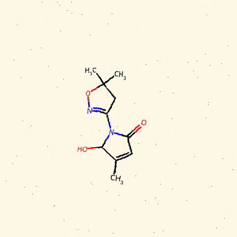 CC1=CC(=O)N(C2=NOC(C)(C)C2)C1O